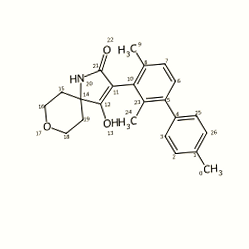 Cc1ccc(-c2ccc(C)c(C3=C(O)C4(CCOCC4)NC3=O)c2C)cc1